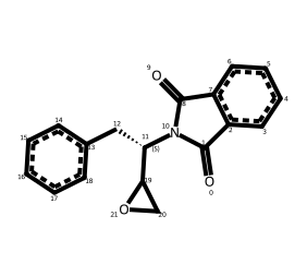 O=C1c2ccccc2C(=O)N1[C@@H](Cc1ccccc1)C1CO1